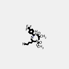 C=C1CN(C(=O)OC)CC(CCCC#N)C/N=C(/c2ccc(C(F)(F)F)cc2)NC1=O